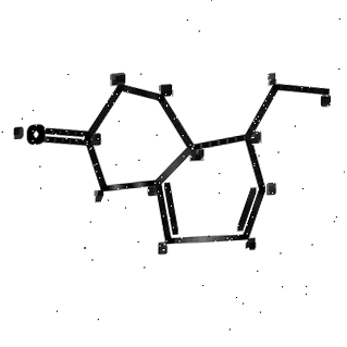 CCC1C=CC=C2CC(=O)CCC21